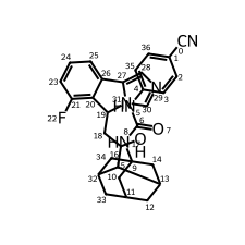 N#Cc1ccc(NC(=O)NC23CC4CC(C2)C(C(O)CC2c5c(F)cccc5-c5cncn52)C(C4)C3)cc1